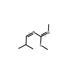 C/N=C(\N=C/C(C)C)SC